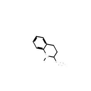 CNC1CCc2ccccc2N1C